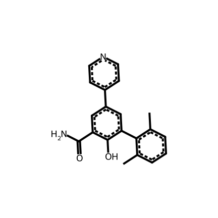 Cc1cccc(C)c1-c1cc(-c2ccncc2)cc(C(N)=O)c1O